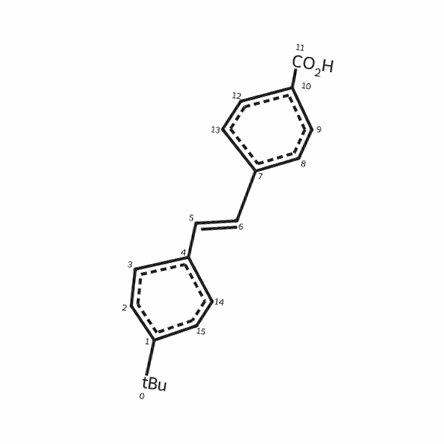 CC(C)(C)c1ccc(C=Cc2ccc(C(=O)O)cc2)cc1